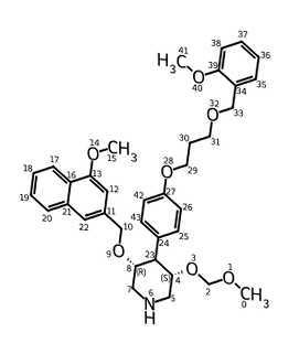 COCO[C@@H]1CNC[C@H](OCc2cc(OC)c3ccccc3c2)C1c1ccc(OCCCOCc2ccccc2OC)cc1